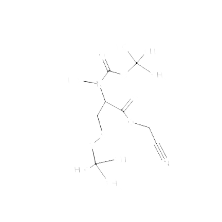 CN(C(=O)OC(C)(C)C)C(CSSC(C)(C)C)C(=O)OCC#N